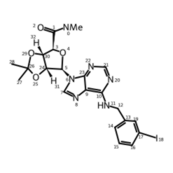 CNC(=O)[C@H]1O[C@@H](n2cnc3c(NCc4cccc(I)c4)ncnc32)[C@@H]2OC(C)(C)O[C@@H]21